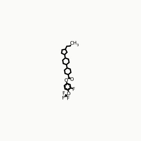 CCCC1CCC(C2CCC(C3CCC(C(=O)Oc4ccc(OC(F)(F)F)c(F)c4)CC3)CC2)C1